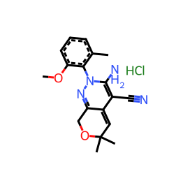 COc1cccc(C)c1N1N=C2COC(C)(C)C=C2C(C#N)=C1N.Cl